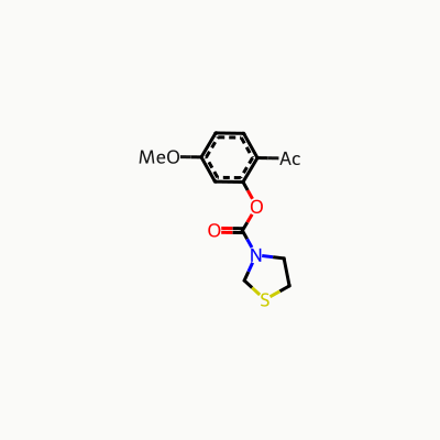 COc1ccc(C(C)=O)c(OC(=O)N2CCSC2)c1